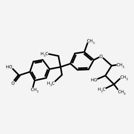 CCC(CC)(c1ccc(OC(C)C(O)C(C)(C)C)c(C)c1)c1ccc(C(=O)O)c(C)c1